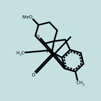 COC1CCC2(CC1)Cc1ccc(C)cc1C21NC(=O)N(C)C1=O